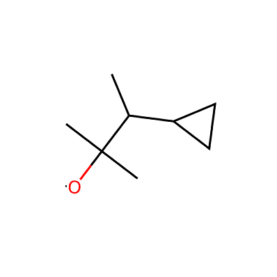 CC(C1CC1)C(C)(C)[O]